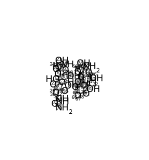 CC(=O)[C@]1(O)Cc2c(O)c3c(c(O)c2[C@@H](O[C@H]2C[C@H](N)[C@H](O)[C@H](C)O2)C1)C(=O)c1ccccc1C3=O.CC(=O)[C@]1(O)Cc2c(O)c3c(c(O)c2[C@@H](O[C@H]2C[C@H](N)[C@H](O)[C@H](C)O2)C1)C(=O)c1ccccc1C3=O.Cl.NC(=O)NO